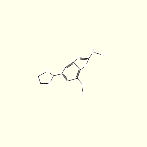 CCCNc1nc2cc(C3OCCO3)cc(OC(C)C)c2o1